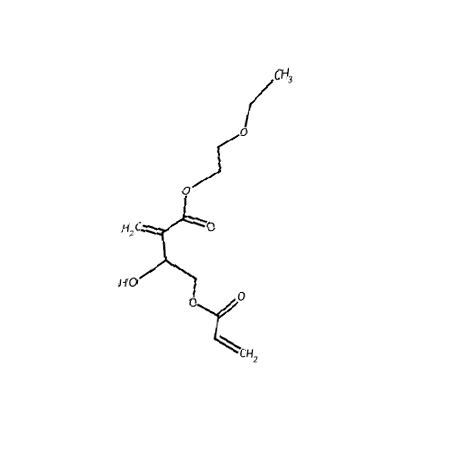 C=CC(=O)OCC(O)C(=C)C(=O)OCCOCC